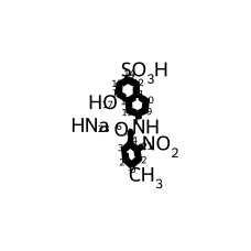 Cc1ccc(C(=O)Nc2ccc3cc(S(=O)(=O)O)cc(O)c3c2)c([N+](=O)[O-])c1.[NaH]